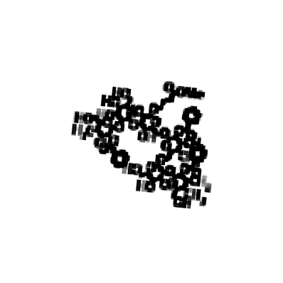 COC(=O)CCCO[C@@H]1OC(CO[C@H]2OC(CO[C@H]3OC(CO)[C@@H](O)[C@H](O)C3O[C@H]3OC(CO)[C@@H](C)[C@H](C)C3OC(=O)c3ccccc3)[C@@H](C)[C@H](C)C2OC(=O)c2ccccc2)[C@@H](O)[C@H](O[C@H]2OC(CO)[C@@H](O)[C@H](O)C2O[C@H]2OC(CO)[C@@H](C)[C@H](C)C2OC(=O)c2ccccc2)C1O